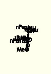 CCCCCC(NC(C)(C)C)C(=O)NCCCCC(NC(=O)C(CCCCC)NC(C)(C)C)C(=O)NCCOCCOC